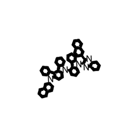 c1ccc2cc(-c3nc4ccccc4nc3-n3c4ccccc4c4c(-n5c6ccccc6c6c7c8ccccc8n(-c8ccc9ccccc9c8)c7ccc65)cccc43)ccc2c1